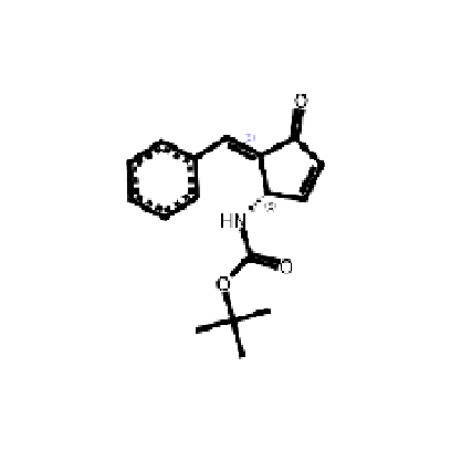 CC(C)(C)OC(=O)N[C@H]1C=CC(=O)/C1=C/c1ccccc1